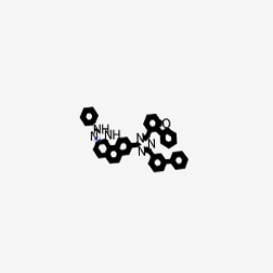 N=C1/C(=N\Nc2ccccc2)C=Cc2ccc3cc(-c4nc(-c5cccc(-c6ccccc6)c5)nc(-c5cccc6oc7ccccc7c56)n4)ccc3c21